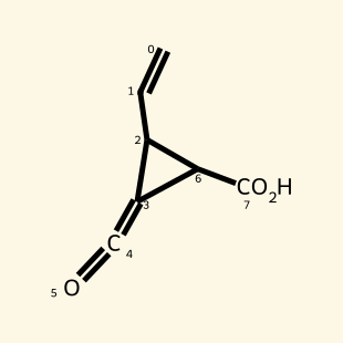 C=CC1C(=C=O)C1C(=O)O